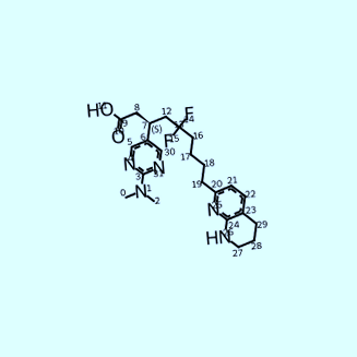 CN(C)c1ncc([C@@H](CC(=O)O)CC(F)(F)CCCCc2ccc3c(n2)NCCC3)cn1